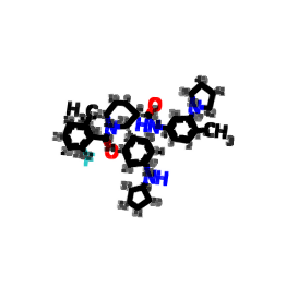 Cc1ccc(NC(=O)[C@H]2CCCN(C(=O)c3c(C)cccc3F)[C@H]2c2ccc(NC3CCCC3)cc2)cc1N1CCCC1